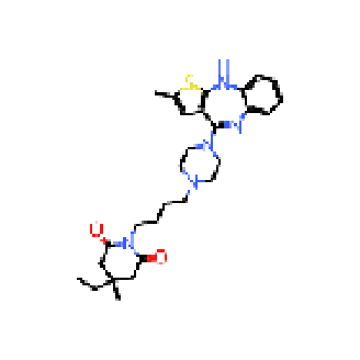 CCC1(C)CC(=O)N(CCCCN2CCN(C3=Nc4ccccc4Nc4sc(C)cc43)CC2)C(=O)C1